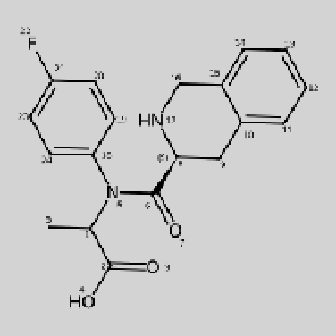 CC(C(=O)O)N(C(=O)[C@@H]1Cc2ccccc2CN1)c1ccc(F)cc1